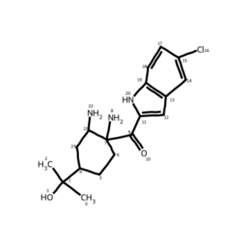 CC(C)(O)C1CCC(N)(C(=O)c2cc3cc(Cl)ccc3[nH]2)C(N)C1